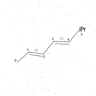 C/C=C/C=C/C(C)C